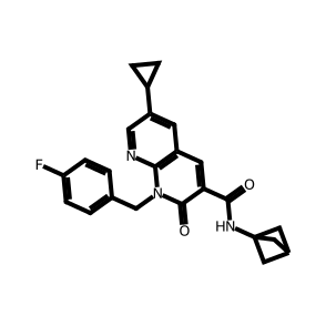 O=C(NC12CC(C1)C2)c1cc2cc(C3CC3)cnc2n(Cc2ccc(F)cc2)c1=O